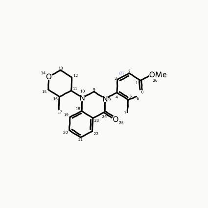 C=C(/C=C\C(=C(C)C)N1CN(C2CCOCC2C)c2ccccc2C1=O)OC